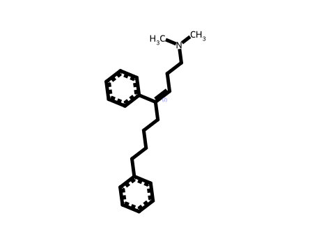 CN(C)CC/C=C(/CCCCc1ccccc1)c1ccccc1